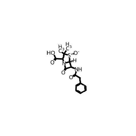 CC1(C)C(C(=O)O)N2C(=O)C(NC(=O)Cc3ccccc3)[C@H]2[S+]1[O-]